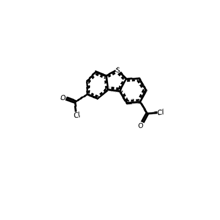 O=C(Cl)c1ccc2sc3ccc(C(=O)Cl)cc3c2c1